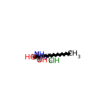 CCCCCCCCCCCCC/C=C/[C@@H](O)[C@@H](N)CO.Cl